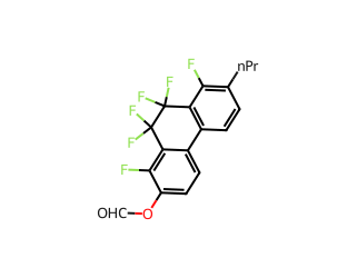 CCCc1ccc2c(c1F)C(F)(F)C(F)(F)c1c-2ccc(OC=O)c1F